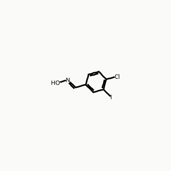 ON=Cc1ccc(Cl)c(I)c1